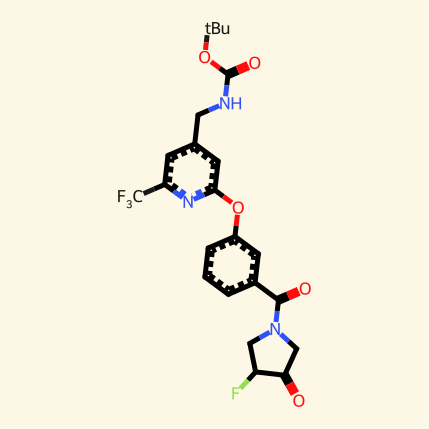 CC(C)(C)OC(=O)NCc1cc(Oc2cccc(C(=O)N3CC(=O)C(F)C3)c2)nc(C(F)(F)F)c1